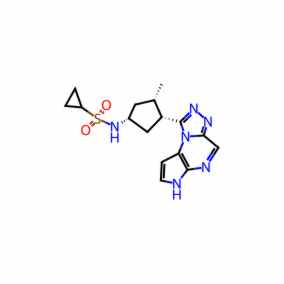 C[C@H]1C[C@@H](NS(=O)(=O)C2CC2)C[C@H]1c1nnc2cnc3[nH]ccc3n12